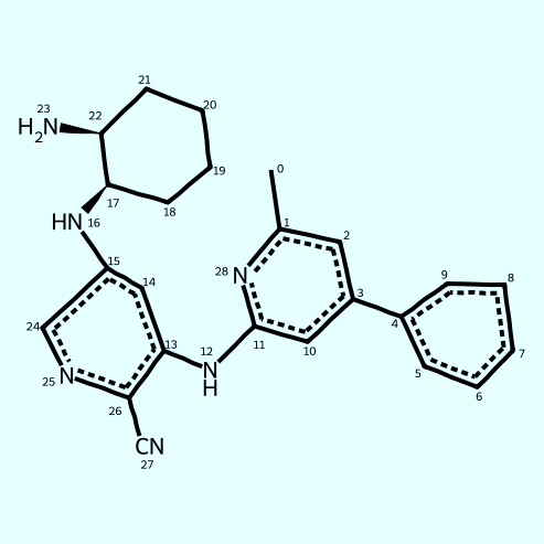 Cc1cc(-c2ccccc2)cc(Nc2cc(N[C@@H]3CCCC[C@@H]3N)cnc2C#N)n1